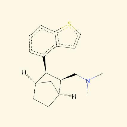 CN(C)C[C@H]1[C@H]2CC[C@H](C2)[C@H]1c1cccc2sccc12